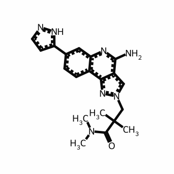 CN(C)C(=O)C(C)(C)Cn1cc2c(N)nc3cc(-c4ccn[nH]4)ccc3c2n1